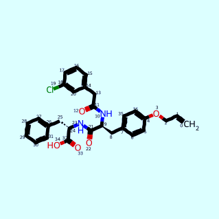 C=CCOc1ccc(C[C@H](NC(=O)Cc2cccc(Cl)c2)C(=O)N[C@@H](Cc2ccccc2)C(=O)O)cc1